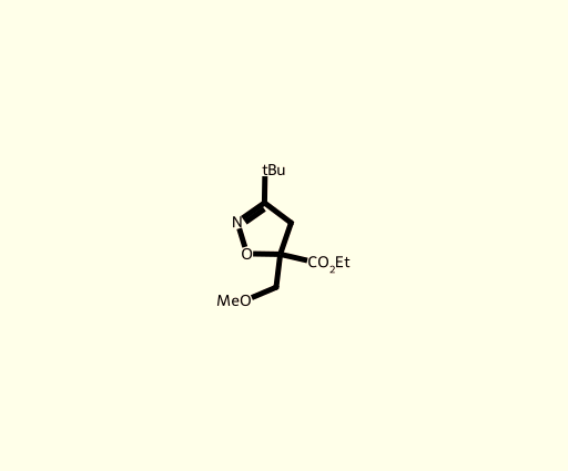 CCOC(=O)C1(COC)CC(C(C)(C)C)=NO1